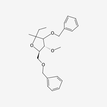 CCC1(C)O[C@H](COCc2ccccc2)[C@@H](OC)C1OCc1ccccc1